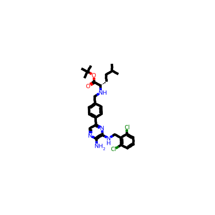 CC(C)CC[C@H](NCc1ccc(-c2cnc(N)c(NCc3c(Cl)cccc3Cl)n2)cc1)C(=O)OC(C)(C)C